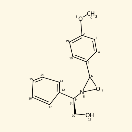 COc1ccc(C2ON2[C@@H](CO)c2ccccc2)cc1